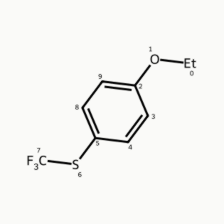 CCOc1ccc(SC(F)(F)F)cc1